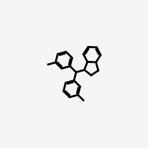 Cc1cccc(C(c2cccc(C)c2)C2CCC3C=CC=CC32)c1